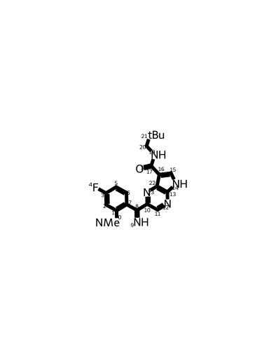 CNc1cc(F)ccc1C(=N)c1cnc2[nH]cc(C(=O)NCC(C)(C)C)c2n1